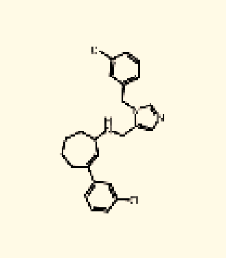 Clc1cccc(Cn2cncc2CNC2C=C(c3cccc(Cl)c3)CCCC2)c1